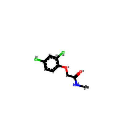 CCCCNC(=O)COc1ccc(Cl)cc1Cl